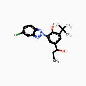 CCC(O)c1cc(-n2nc3ccc(Cl)cc3n2)c(O)c(C(C)(C)C)c1